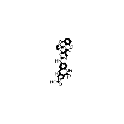 O=C1Nc2ccc(Nc3ncc4c(=O)n(-c5c(Cl)cccc5Cl)c5nccn5c4n3)cc2C[C@@H]2CN(C(=O)O)C[C@@H]12